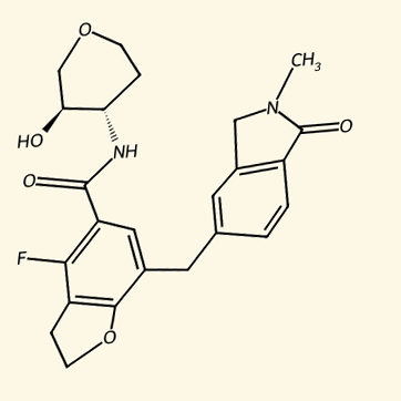 CN1Cc2cc(Cc3cc(C(=O)N[C@H]4CCOC[C@@H]4O)c(F)c4c3OCC4)ccc2C1=O